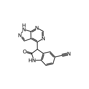 N#Cc1ccc2c(c1)C(c1ncnc3[nH]ncc13)C(=O)N2